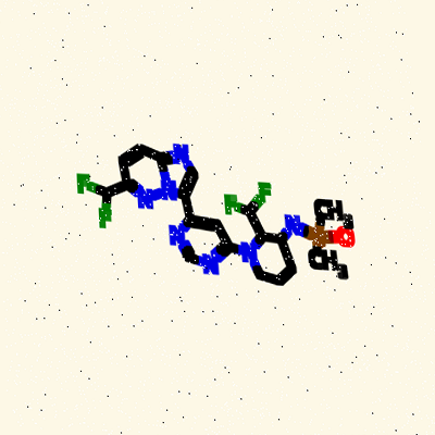 CS(C)(=O)=NC1CCCN(c2cc(-c3cnc4ccc(C(F)F)nn34)ncn2)C1C(F)F